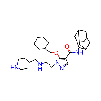 O=C(NC1C2CC3CC(C2)CC1C3)c1cnn(CCNCC2CCNCC2)c1OCC1CCCCC1